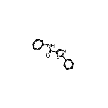 O=C(Nc1ccccc1)c1cnc(-c2ccccc2)s1